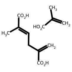 C=C(C)C(=O)O.C=C(CC=C(C)C(=O)O)C(=O)O